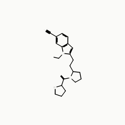 CCn1c(CCC2CCCN2C(=O)C2CCCN2)cc2ccc(C#N)cc21